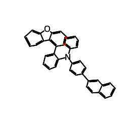 c1ccc(N(c2ccc(-c3ccc4ccccc4c3)cc2)c2ccccc2-c2cccc3oc4ccccc4c23)cc1